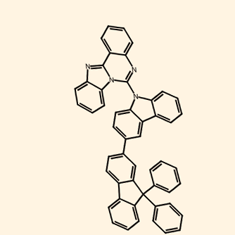 c1ccc(C2(c3ccccc3)c3ccccc3-c3ccc(-c4ccc5c(c4)c4ccccc4n5-c4nc5ccccc5c5nc6ccccc6n45)cc32)cc1